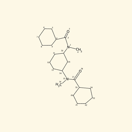 CN(C(=O)C1CCCCC1)C1CCCC(N(C)C(=O)C2CCCCC2)C1